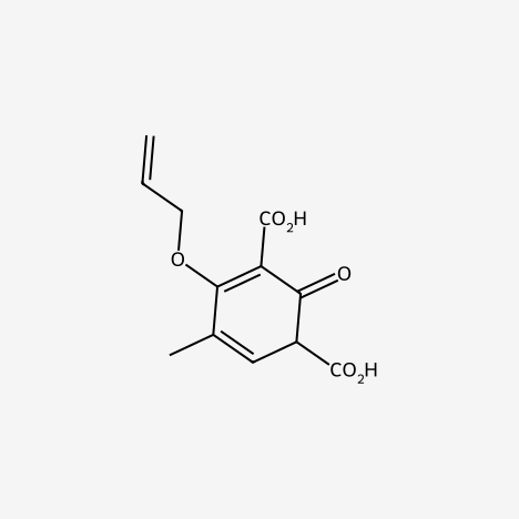 C=CCOC1=C(C(=O)O)C(=O)C(C(=O)O)C=C1C